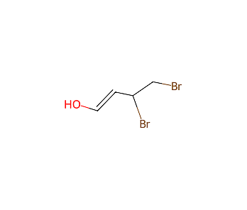 OC=CC(Br)CBr